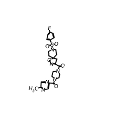 Cc1cnc(C(=O)N2CCN(C(=O)C3=NOC4(CCN(S(=O)(=O)c5ccc(F)cc5)CC4)C3)CC2)cn1